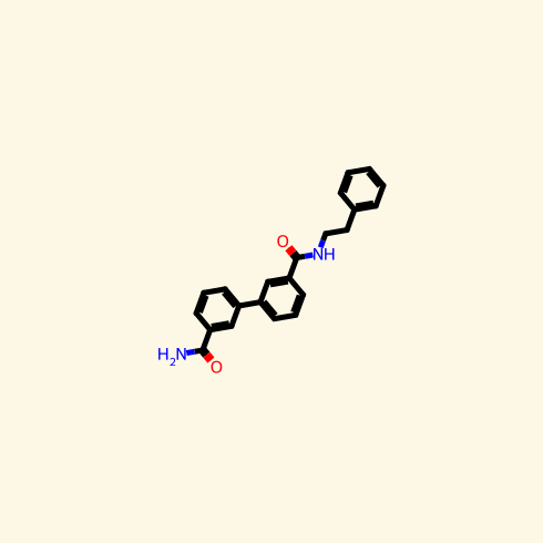 NC(=O)c1cccc(-c2cccc(C(=O)NCCc3ccccc3)c2)c1